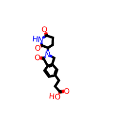 O=C(O)CCc1ccc2c(c1)CN(C1CCC(=O)NC1=O)C2=O